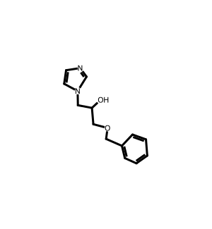 OC(COCc1ccccc1)Cn1ccnc1